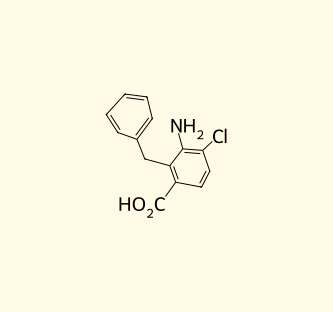 Nc1c(Cl)ccc(C(=O)O)c1Cc1ccccc1